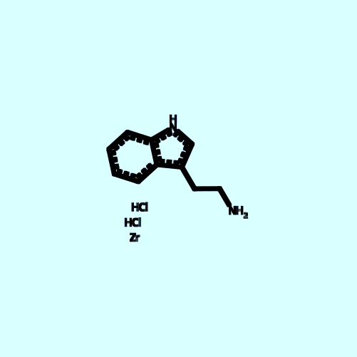 Cl.Cl.NCCc1c[nH]c2ccccc12.[Zr]